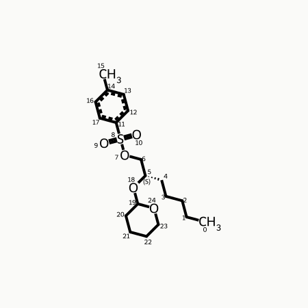 CCCCC[C@@H](COS(=O)(=O)c1ccc(C)cc1)OC1CCCCO1